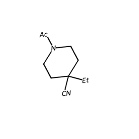 CCC1(C#N)CCN(C(C)=O)CC1